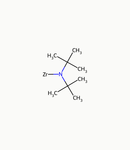 CC(C)(C)[N]([Zr])C(C)(C)C